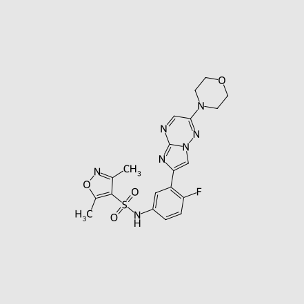 Cc1noc(C)c1S(=O)(=O)Nc1ccc(F)c(-c2cn3nc(N4CCOCC4)cnc3n2)c1